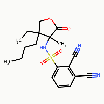 CCCCC1(CC)COC(=O)C1(C)NS(=O)(=O)c1cccc(C#N)c1C#N